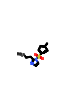 Cc1ccc(S(=O)(=O)n2ccnc2CCS(=O)(=O)O)cc1